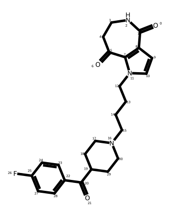 O=C1NCCC(=O)c2c1ccn2CCCCN1CCC(C(=O)c2ccc(F)cc2)CC1